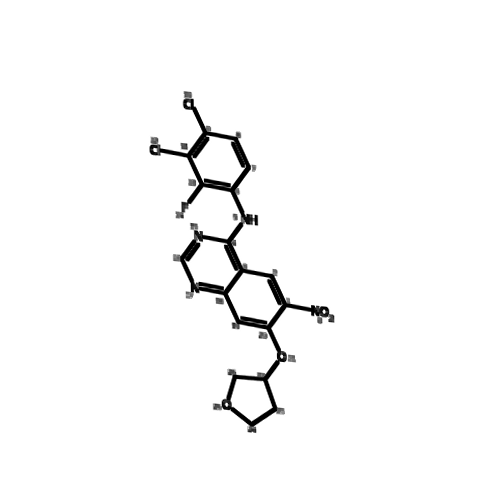 O=[N+]([O-])c1cc2c(Nc3ccc(Cl)c(Cl)c3F)ncnc2cc1OC1CCOC1